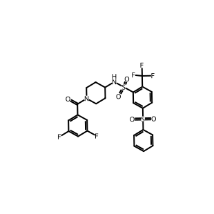 O=C(c1cc(F)cc(F)c1)N1CCC(NS(=O)(=O)c2cc(S(=O)(=O)c3ccccc3)ccc2C(F)(F)F)CC1